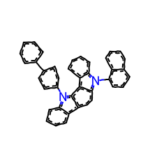 c1ccc(-c2ccc(-n3c4ccccc4c4ccc5c(c6ccccc6n5-c5cccc6ccccc56)c43)cc2)cc1